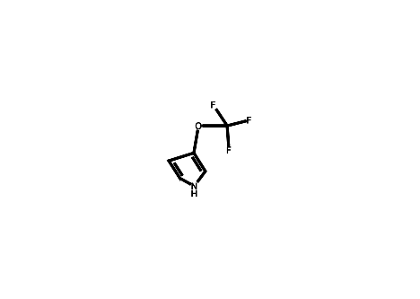 FC(F)(F)Oc1c[c][nH]c1